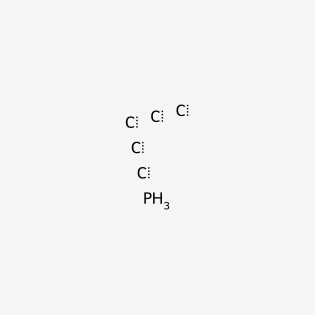 P.[C].[C].[C].[C].[C]